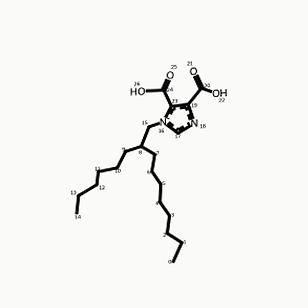 CCCCCCCCC(CCCCCC)Cn1cnc(C(=O)O)c1C(=O)O